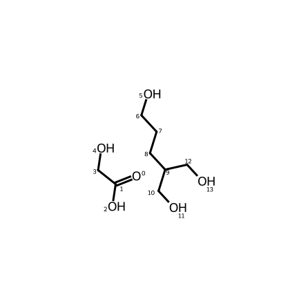 O=C(O)CO.OCCCC(CO)CO